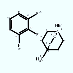 Br.CC12CCN(CC1)CC2.Fc1cccc(F)c1F